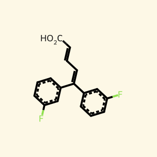 O=C(O)C=CC=C(c1cccc(F)c1)c1cccc(F)c1